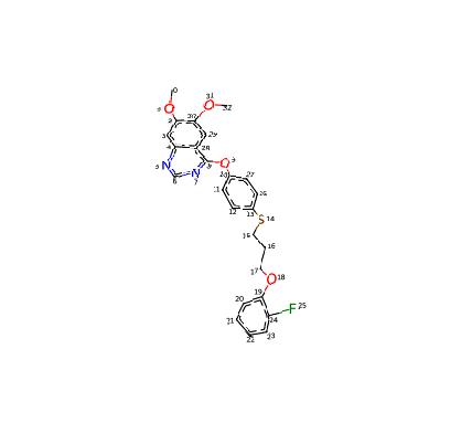 COc1cc2ncnc(Oc3ccc(SCCCOc4ccccc4F)cc3)c2cc1OC